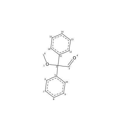 COC([C]=O)(c1ccccc1)c1ccccc1